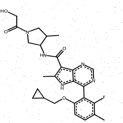 Cc1ccc(OCC2CC2)c(-c2ncnc3c(C(=O)NC4CN(C(=O)CO)CC4C)c(C)[nH]c23)c1F